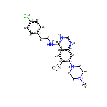 CC(=O)N1CCN(c2cc3ncnc(NCCc4ccc(Cl)cc4)c3cc2[N+](=O)[O-])CC1